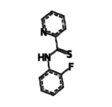 Fc1ccccc1NC(=S)c1ccccn1